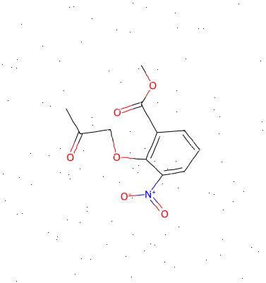 COC(=O)c1cccc([N+](=O)[O-])c1OCC(C)=O